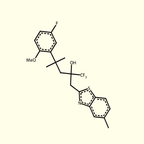 COc1ccc(F)cc1C(C)(C)CC(O)(Cc1nc2cc(C)ccc2s1)C(F)(F)F